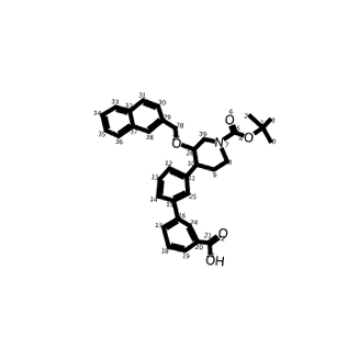 CC(C)(C)OC(=O)N1CCC(c2cccc(-c3cccc(C(=O)O)c3)c2)C(OCc2ccc3ccccc3c2)C1